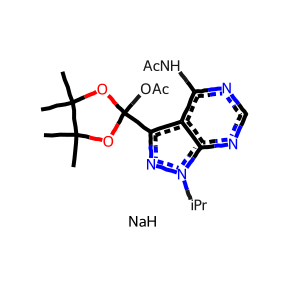 CC(=O)Nc1ncnc2c1c(C1(OC(C)=O)OC(C)(C)C(C)(C)O1)nn2C(C)C.[NaH]